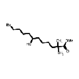 COC(=O)C(C)(C)CCCCC(O)CCCCC(C)(C)C